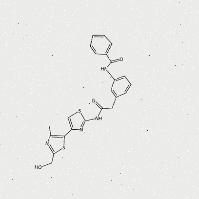 Cc1nc(CO)sc1-c1csc(NC(=O)Cc2cccc(NC(=O)c3ccccc3)c2)n1